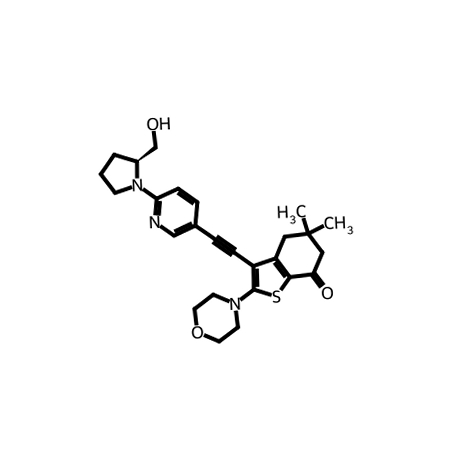 CC1(C)CC(=O)c2sc(N3CCOCC3)c(C#Cc3ccc(N4CCC[C@H]4CO)nc3)c2C1